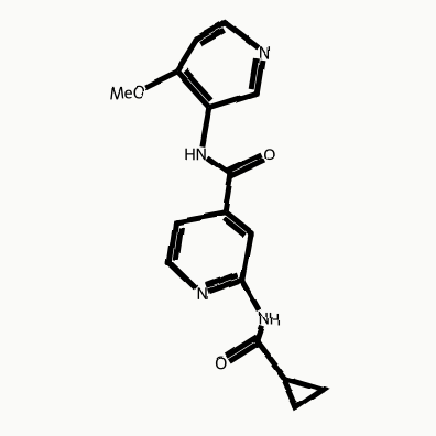 COc1ccncc1NC(=O)c1ccnc(NC(=O)C2CC2)c1